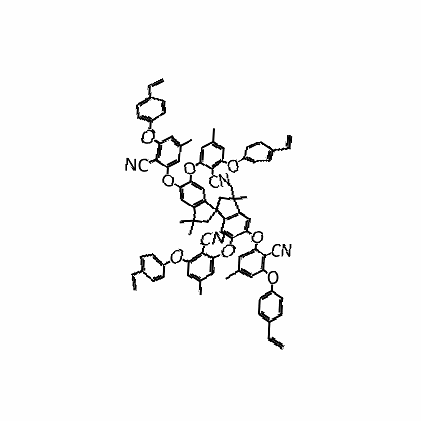 C=Cc1ccc(Oc2cc(C)cc(Oc3cc4c(cc3Oc3cc(C)cc(Oc5ccc(C=C)cc5)c3C#N)C3(CC4(C)C)CC(C)(C)c4cc(Oc5cc(C)cc(Oc6ccc(C=C)cc6)c5C#N)c(Oc5cc(C)cc(Oc6ccc(C=C)cc6)c5C#N)cc43)c2C#N)cc1